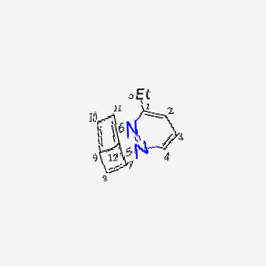 CCc1cccnn1.c1cc2ccc1-2